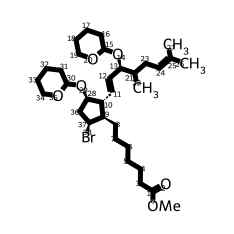 COC(=O)CCCCCC[C@@H]1[C@@H](C=C[C@@H](OC2CCCCO2)C(C)CC=C(C)C)[C@H](OC2CCCCO2)C[C@@H]1Br